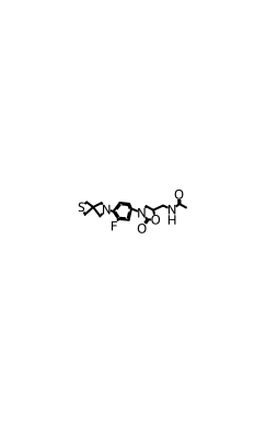 CC(=O)NCC1CN(c2ccc(N3CC4(CSC4)C3)c(F)c2)C(=O)O1